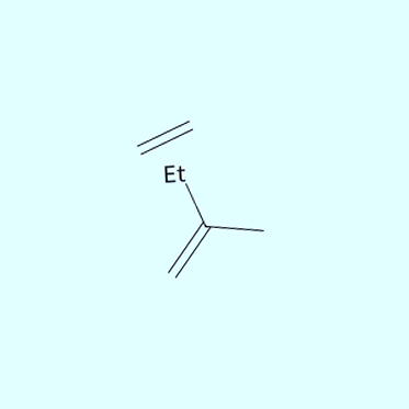 C=C.C=C(C)CC